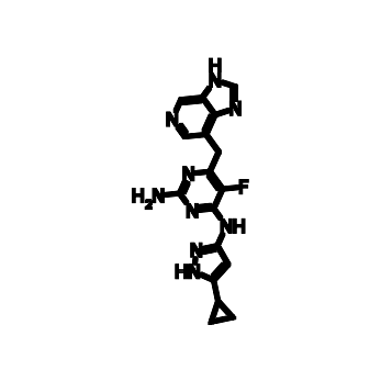 Nc1nc(Cc2cncc3[nH]cnc23)c(F)c(Nc2cc(C3CC3)[nH]n2)n1